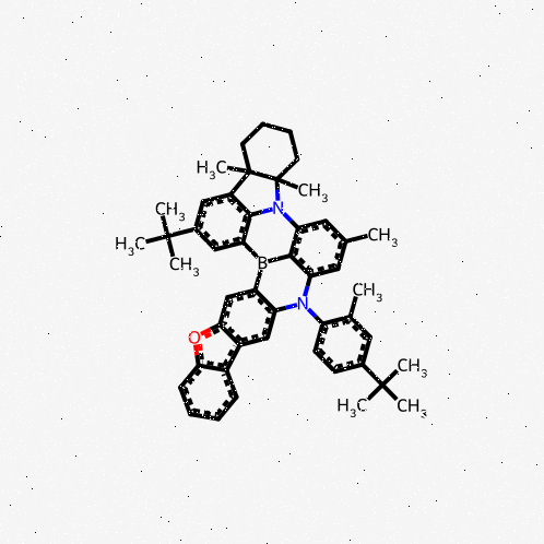 Cc1cc2c3c(c1)N1c4c(cc(C(C)(C)C)cc4C4(C)CCCCC14C)B3c1cc3oc4ccccc4c3cc1N2c1ccc(C(C)(C)C)cc1C